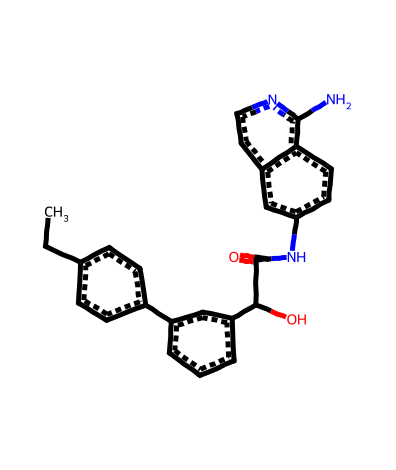 CCc1ccc(-c2cccc(C(O)C(=O)Nc3ccc4c(N)nccc4c3)c2)cc1